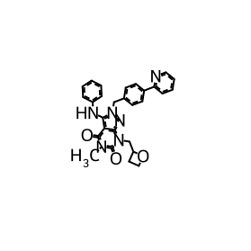 Cn1c(=O)c2c(Nc3ccccc3)n(Cc3ccc(-c4ccccn4)cc3)nc2n(CC2CCO2)c1=O